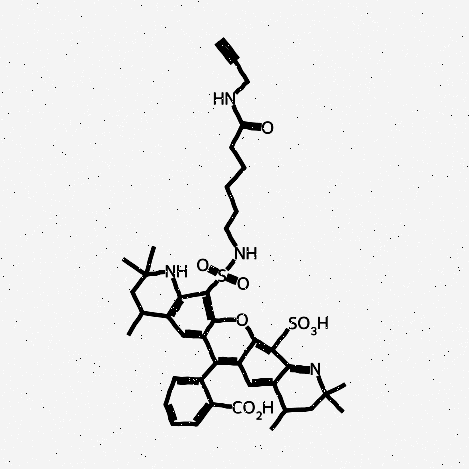 C#CCNC(=O)CCCCCNS(=O)(=O)c1c2c(cc3c1Oc1c(S(=O)(=O)O)c4c(cc1=C3c1ccccc1C(=O)O)C(C)CC(C)(C)N=4)C(C)CC(C)(C)N2